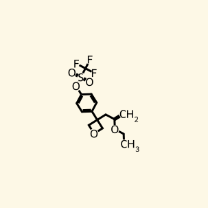 C=C(CC1(c2ccc(OS(=O)(=O)C(F)(F)F)cc2)COC1)OCC